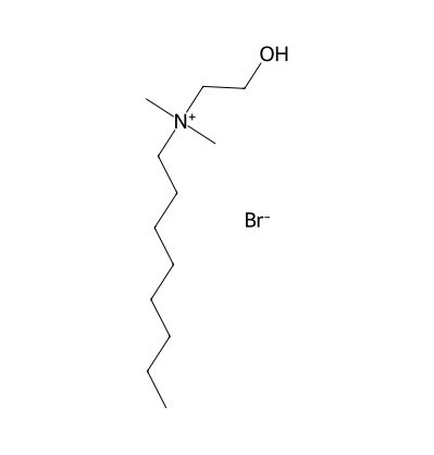 CCCCCCCC[N+](C)(C)CCO.[Br-]